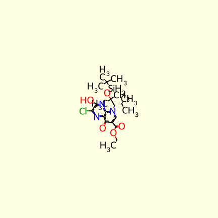 CCOC(=O)c1cn([C@@H](C(C)C)C(C)(C)O[SiH2]C(C)(C)C)c2nc(O)c(Cl)nc2c1=O